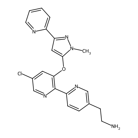 Cn1nc(-c2ccccn2)cc1Oc1cc(Cl)cnc1-c1ccc(CCN)cn1